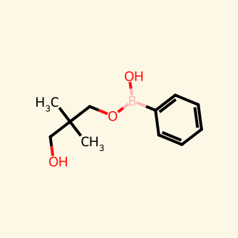 CC(C)(CO)COB(O)c1ccccc1